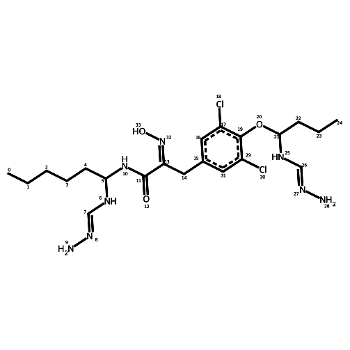 CCCCCC(NC=NN)NC(=O)C(Cc1cc(Cl)c(OC(CCC)NC=NN)c(Cl)c1)=NO